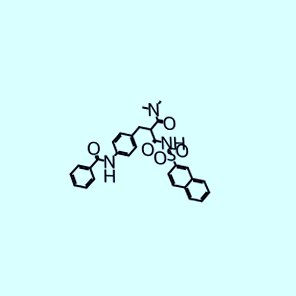 CN(C)C(=O)C(Cc1ccc(NC(=O)c2ccccc2)cc1)C(=O)NS(=O)(=O)c1ccc2ccccc2c1